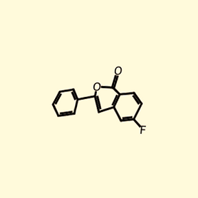 O=c1oc(-c2ccccc2)cc2cc(F)ccc12